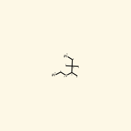 CC(C)CSC(C)C(C)(C)CC(C)C